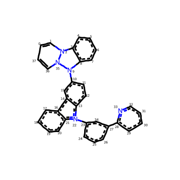 C1=CN2c3ccccc3N(c3ccc4c(c3)c3ccccc3n4-c3cccc(-c4ccccn4)c3)N2C=C1